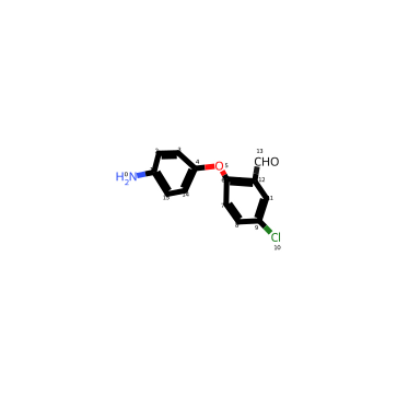 Nc1ccc(Oc2ccc(Cl)cc2C=O)cc1